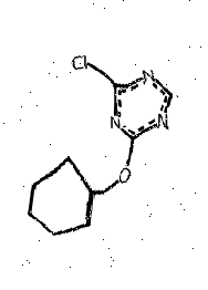 Clc1n[c]nc(OC2CCCCC2)n1